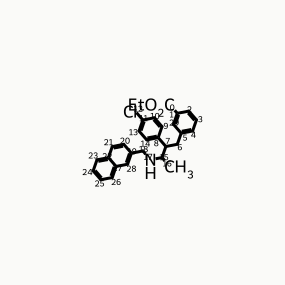 CCOC(=O)c1cccc(CC(c2ccc(Cl)cc2)C(C)NCc2ccc3ccccc3c2)c1